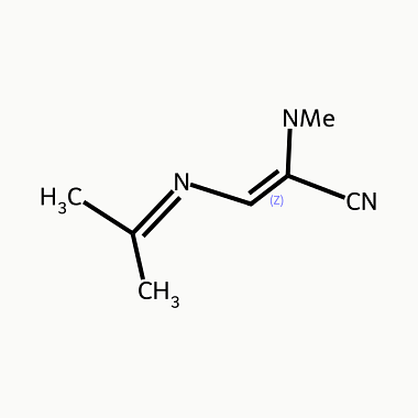 CN/C(C#N)=C\N=C(C)C